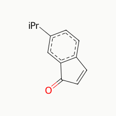 CC(C)c1ccc2c(c1)C(=O)C=C2